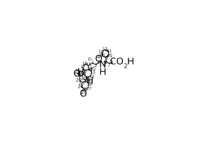 C[C@H](CC(=O)NC(CC(=O)O)c1ccccc1)C1CC[C@H]2C3C(=O)CC4CC(=O)CCC4(C)[C@H]3CCC12C